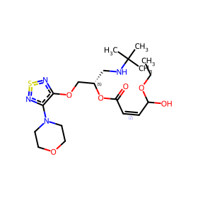 CCOC(O)/C=C\C(=O)O[C@@H](CNC(C)(C)C)COc1nsnc1N1CCOCC1